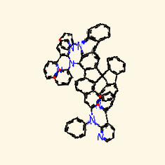 c1ccc(N(c2ccc3c4c(ccc3c2)-c2c(cc3c5ccccc5n(-c5ccccc5)c3c2N(c2ccccc2)c2ncccc2-c2ccccn2)C42c3ccccc3-c3ccccc32)c2ncccc2-c2ccccn2)cc1